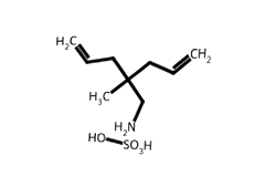 C=CCC(C)(CN)CC=C.O=S(=O)(O)O